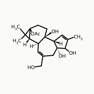 CC(=O)O[C@@]12CC[C@@]3(O)[C@@H](C=C(CO)C[C@]4(O)C(O)C(C)=C[C@@H]34)[C@@H]1C2(C)C